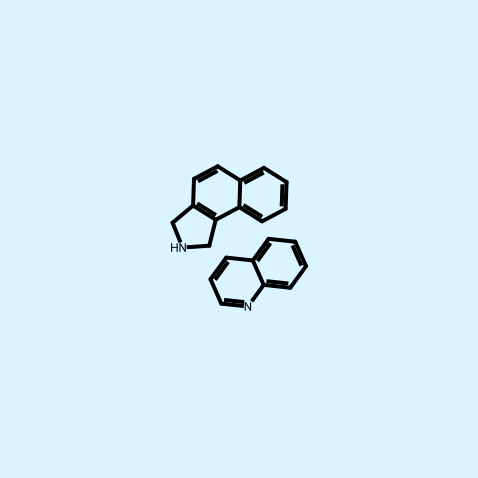 c1ccc2c3c(ccc2c1)CNC3.c1ccc2ncccc2c1